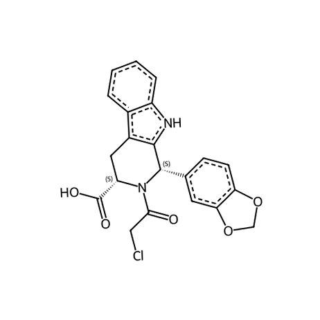 O=C(O)[C@@H]1Cc2c([nH]c3ccccc23)[C@H](c2ccc3c(c2)OCO3)N1C(=O)CCl